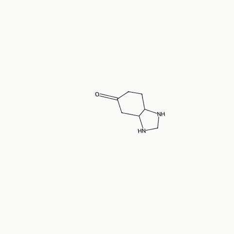 O=C1CCC2NCNC2C1